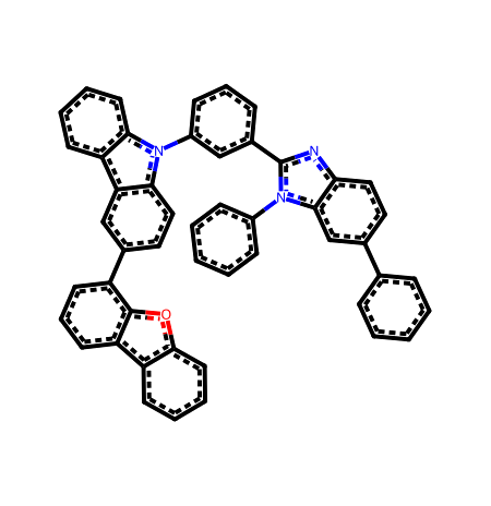 c1ccc(-c2ccc3nc(-c4cccc(-n5c6ccccc6c6cc(-c7cccc8c7oc7ccccc78)ccc65)c4)n(-c4ccccc4)c3c2)cc1